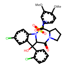 COc1ccc(S(=O)(=O)N2c3ccc(Cl)cc3C(O)(c3ccccc3Cl)C2C(=O)N2CCCC2C(N)=O)cc1OC